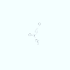 CCOC(=O)C(C)Oc1ccc(SCc2sc(-c3ccc(C(F)(F)F)cc3)nc2CN2CCN(C(=O)NCCc3ccccc3)CC2)cc1C